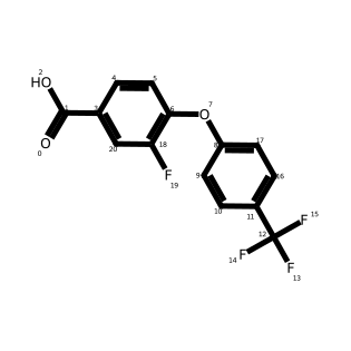 O=C(O)c1ccc(Oc2ccc(C(F)(F)F)cc2)c(F)c1